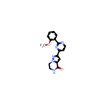 O=C1NCCn2nc(-c3ccnc(-c4ccccc4OC(F)(F)F)n3)cc21